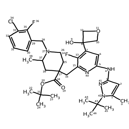 Cc1cc(Nc2cc(C3(O)COC3)c(F)c(CC3(C(=O)OC(C)(C)C)CCN(Cc4cccc(Cl)c4F)C(C)C3)n2)nn1C(C)(C)C